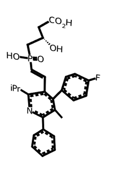 Cc1c(-c2ccccc2)nc(C(C)C)c(/C=C/P(=O)(O)C[C@@H](O)CC(=O)O)c1-c1ccc(F)cc1